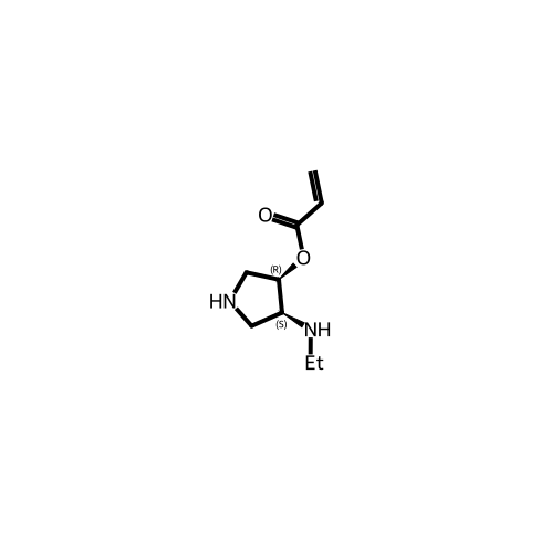 C=CC(=O)O[C@@H]1CNC[C@@H]1NCC